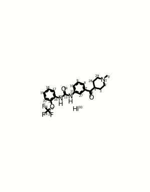 CN1CCC(C(=O)c2cccc(NC(=O)Nc3ccccc3OC(F)(F)F)c2)CC1.I